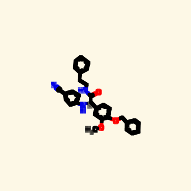 COc1cc([C@H](Nc2ccc(C#N)cc2)C(=O)NCCc2ccccc2)ccc1OCc1ccccc1